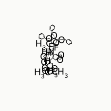 COc1cc([C@@H]2c3cc4c(cc3[C@@H](NCC(F)(F)[C@@H]3O[C@H](COCc5ccccc5)[C@@H](OCc5ccccc5)[C@H](OCc5ccccc5)[C@H]3C)[C@H]3COC(=O)[C@H]23)OCO4)cc(OC)c1OC